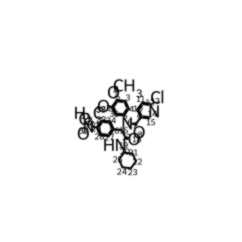 COc1ccc(N(C(=O)c2ccc(Cl)nc2)C(C(=O)NC2CCCCC2)c2ccc([N+](=O)[O-])cc2)cc1OC